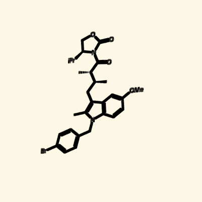 COc1ccc2c(c1)c(C[C@H](C)[C@H](C)C(=O)N1C(=O)OC[C@@H]1C(C)C)c(C)n2Cc1ccc(Br)cc1